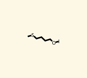 CSCCCCOI